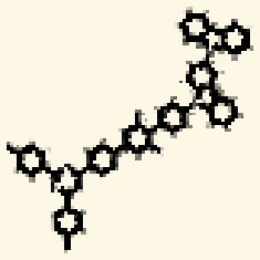 Cc1ccc(-c2cc(-c3ccc(-c4cc(C)c(-c5ccc(-n6c7ccccc7c7cc(-n8c9ccccc9c9ccccc98)ccc76)cc5)c(C)c4)cc3)nc(-c3ccc(C)cc3)n2)cc1